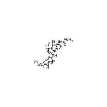 C=CC(=O)Nc1ccnc(-c2c(CC)ccc3cnc(Nc4ccc(NC5CN(CCF)C5)nc4)nc23)c1